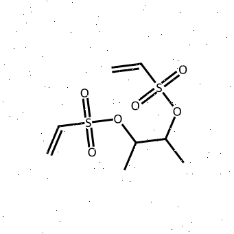 C=CS(=O)(=O)OC(C)C(C)OS(=O)(=O)C=C